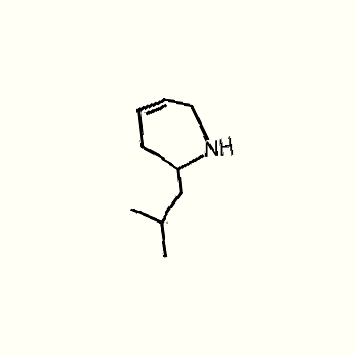 C[C](C)CC1CC=CCN1